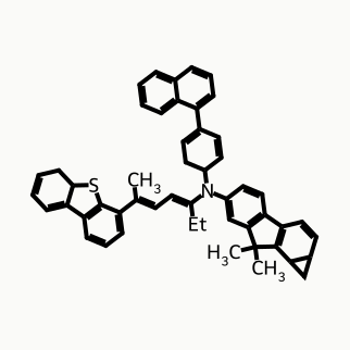 CC/C(=C\C=C(/C)c1cccc2c1SC1CC=CC=C21)N(c1ccc2c(c1)C(C)(C)C1=C2C=CC2CC12)C1C=CC(c2cccc3ccccc23)=CC1